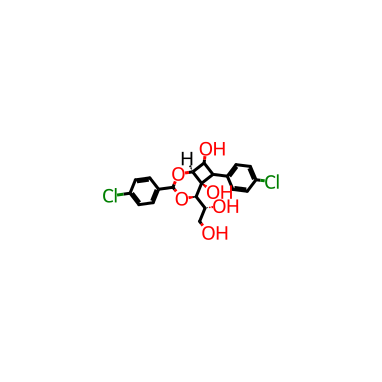 OC[C@@H](O)[C@H]1OC(c2ccc(Cl)cc2)O[C@H]2C(O)C(c3ccc(Cl)cc3)[C@]12O